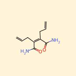 C=CC/C(C(N)=O)=C(\CC=C)C(N)=O